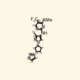 CNc1nc(Nc2cn([C@H]3CC[C@H](n4ccnn4)C3)nc2C)ncc1C(F)(F)F